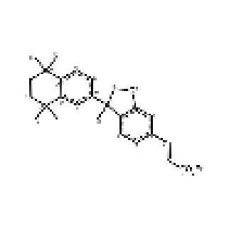 CCOC(=O)C=Cc1ccc2c(c1)OCC2(C)c1ccc2c(c1)C(C)(C)CCC2(C)C